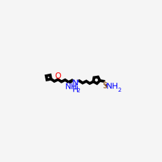 NSCC1CCC(CCCCN/C=C(\N)CCC(=O)CC2CCC2)C1